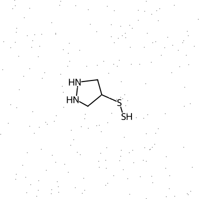 SSC1CNNC1